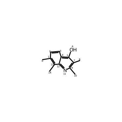 Cc1ccc2c(O)c(C)c(C)nc2c1C